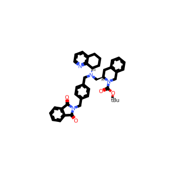 CC(C)(C)OC(=O)N1Cc2ccccc2C[C@@H]1CN(Cc1ccc(CN2C(=O)c3ccccc3C2=O)cc1)[C@H]1CCCc2cccnc21